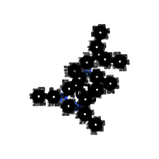 CC1(C)c2cc(N(c3ccc(-c4ccccc4)cc3)c3cccc(-n4c5ccc(-c6ccccc6)cc5c5cc(-c6ccccc6)ccc54)c3)ccc2-c2c1cc(N(c1ccc(-c3ccccc3)cc1)c1cccc(C3c4ccc(-c5ccccc5)cc4-c4cc(-c5ccccc5)ccc43)c1)c1ccccc21